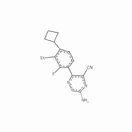 CCc1c(C2CCC2)ccc(-c2ncc(N)nc2C#N)c1F